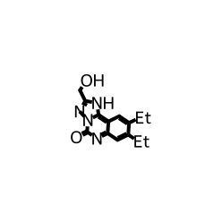 CCc1cc2nc(=O)n3nc(CO)[nH]c3c2cc1CC